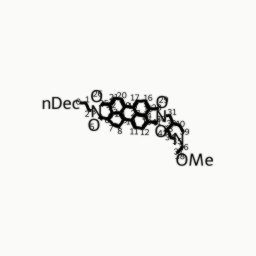 CCCCCCCCCCCCN1C(=O)c2ccc3c4ccc5c6c(ccc(c7ccc(c2c37)C1=O)c64)C(=O)N(CC1CCN(CCOC)CC1)C5=O